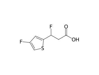 O=C(O)CC(F)c1cc(F)cs1